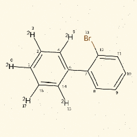 [2H]c1c([2H])c([2H])c(-c2ccccc2Br)c([2H])c1[2H]